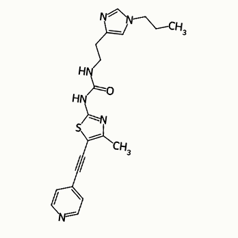 CCCn1cnc(CCNC(=O)Nc2nc(C)c(C#Cc3ccncc3)s2)c1